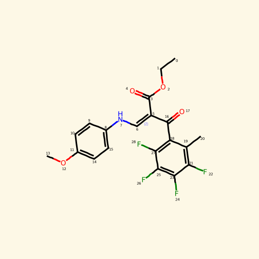 CCOC(=O)/C(=C\Nc1ccc(OC)cc1)C(=O)c1c(C)c(F)c(F)c(F)c1F